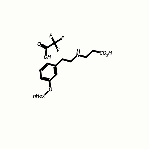 CCCCCCOc1cccc(CCNCCC(=O)O)c1.O=C(O)C(F)(F)F